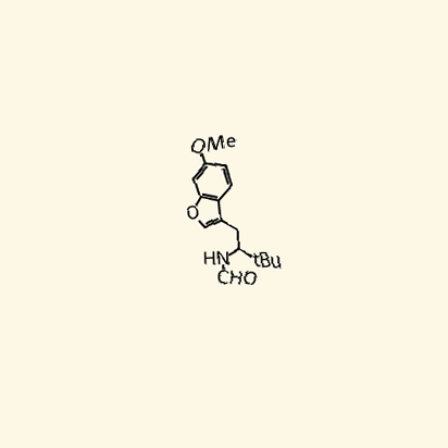 COc1ccc2c(C[C@H](NC=O)C(C)(C)C)coc2c1